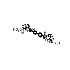 CC[C@@H](C(=O)NC(=O)O)N1[C@H](c2ncc(-c3ccc(-c4ccc(-c5cnc([C@@H]6CCN(C)N6[C@@H](CC)C(=O)NC(=O)O)[nH]5)cc4)cc3)[nH]2)CCN1C